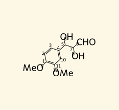 COc1ccc(C(O)C(O)C=O)cc1OC